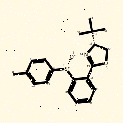 Cc1ccc([S@+]([O-])c2ccccc2C2=N[C@H](C(C)(C)C)CO2)cc1